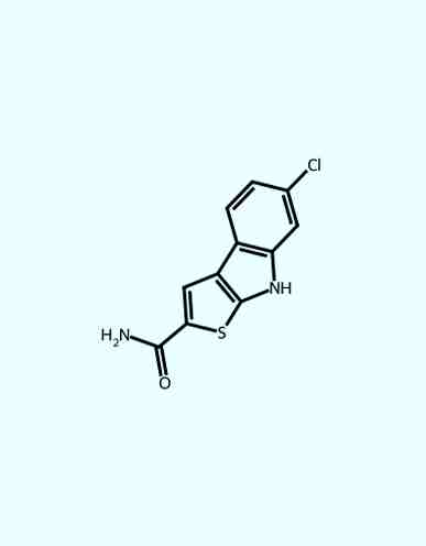 NC(=O)c1cc2c([nH]c3cc(Cl)ccc32)s1